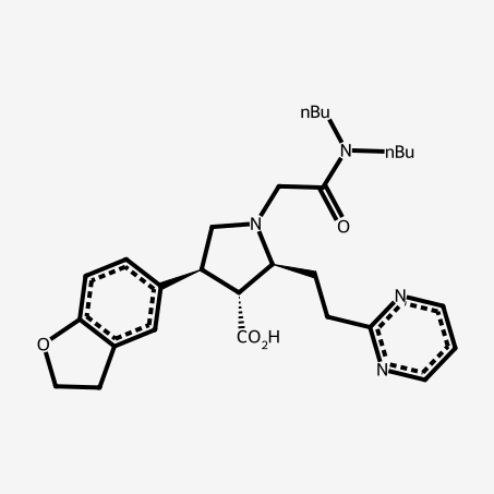 CCCCN(CCCC)C(=O)CN1C[C@H](c2ccc3c(c2)CCO3)[C@@H](C(=O)O)[C@@H]1CCc1ncccn1